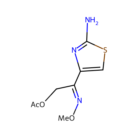 CON=C(COC(C)=O)c1csc(N)n1